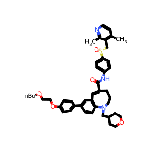 CCCCOCCOc1ccc(-c2ccc3c(c2)/C=C(/C(=O)Nc2ccc([S+]([O-])Cc4c(C)ccnc4C)cc2)CCCN3CC2CCOCC2)cc1